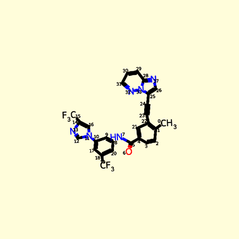 Cc1ccc(C(=O)Nc2cc(-n3cnc(C(F)(F)F)c3)cc(C(F)(F)F)c2)cc1C#Cc1cnc2cccnn12